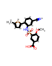 COc1ccc(C(=O)O)cc1S(=O)(=O)Nc1cc(C#N)ccc1-c1ccc(C)s1